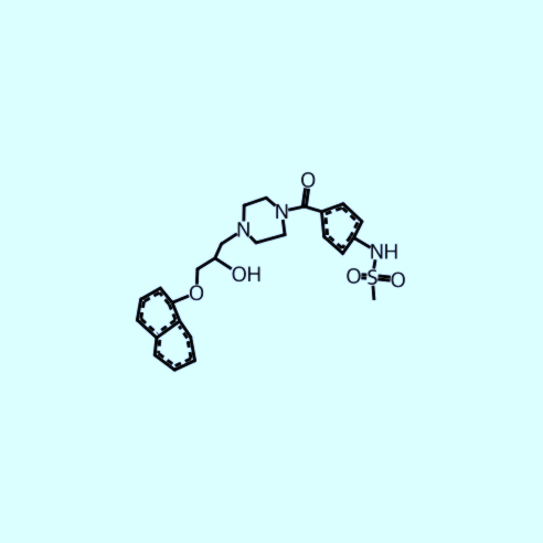 CS(=O)(=O)Nc1ccc(C(=O)N2CCN(CC(O)COc3cccc4ccccc34)CC2)cc1